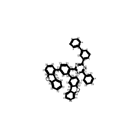 c1ccc(-c2cccc(-c3nc(-c4ccccc4)nc(-c4ccc(-c5cccc6oc7ccccc7c56)cc4-c4ccc5oc6ccccc6c5c4)n3)c2)cc1